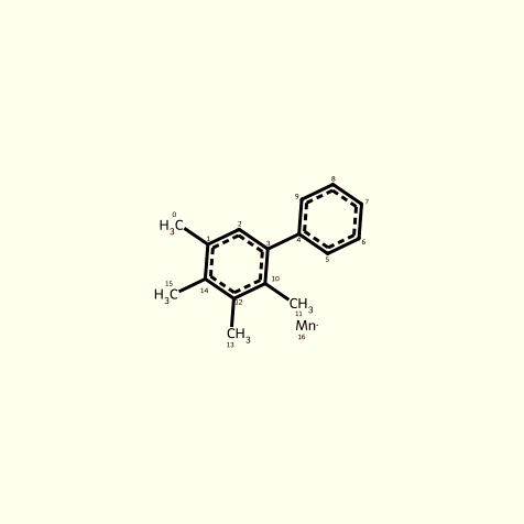 Cc1cc(-c2ccccc2)c(C)c(C)c1C.[Mn]